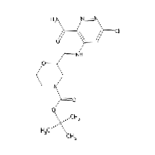 CC(C)(C)OC(=O)N1CCOC(CNc2cc(Cl)nnc2C(N)=O)C1